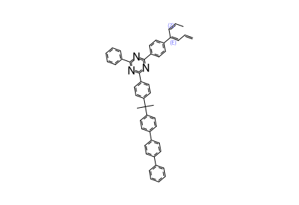 C=C/C=C(\C=C/C)c1ccc(-c2nc(-c3ccccc3)nc(-c3ccc(C(C)(C)c4ccc(-c5ccc(-c6ccccc6)cc5)cc4)cc3)n2)cc1